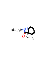 CCCCCNC(=O)C1(C)CCCCC1